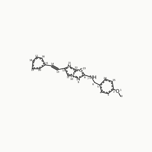 COc1ccc(CNc2nn3cc(C#Cc4ccccc4)nc3s2)cc1